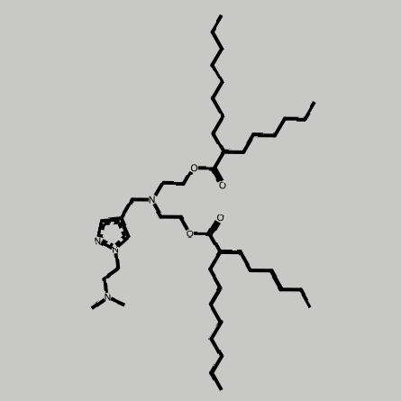 CCCCCCCCC(CCCCCC)C(=O)OCCN(CCOC(=O)C(CCCCCC)CCCCCCCC)Cc1cnn(CCN(C)C)c1